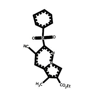 CCOC(=O)c1cn2nc(S(=O)(=O)c3ccccc3)c(C#N)cc2c1C